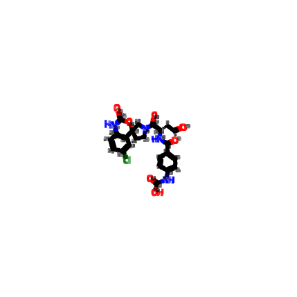 O=CC[C@H](NC(=O)c1ccc(NC(=O)O)cc1)C(=O)N1CCC2(C1)OC(=O)Nc1ccc(Cl)cc12